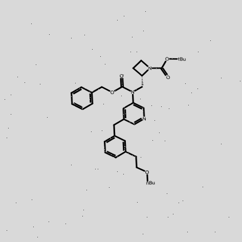 CCCCOCCc1cccc(Cc2cncc(N(C[C@@H]3CCN3C(=O)OC(C)(C)C)C(=O)OCc3ccccc3)c2)c1